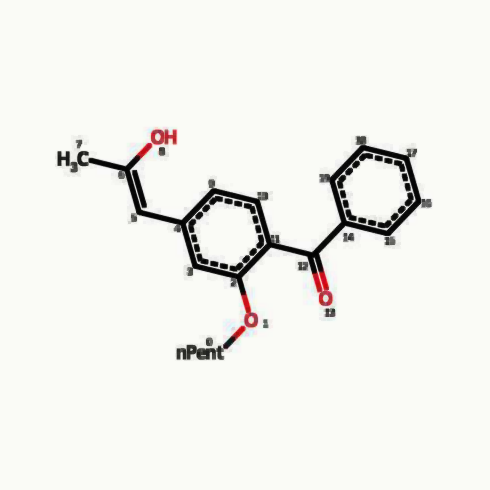 CCCCCOc1cc(C=C(C)O)ccc1C(=O)c1ccccc1